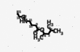 CC(C)CC(C)OC(=O)CCCNOCI